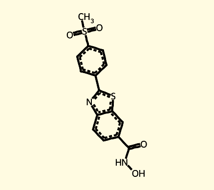 CS(=O)(=O)c1ccc(-c2nc3ccc(C(=O)NO)cc3s2)cc1